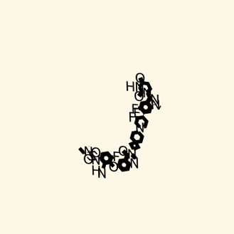 CCN(C)S(=O)(=O)Nc1ccc(F)c(Oc2ccc3ncn(C4CC5(CCC(N6CC[C@@H](c7cc8c(cc7F)c(N7CCC(=O)NC7=O)nn8C)C(F)(F)C6)CC5)C4)c(=O)c3c2)c1C#N